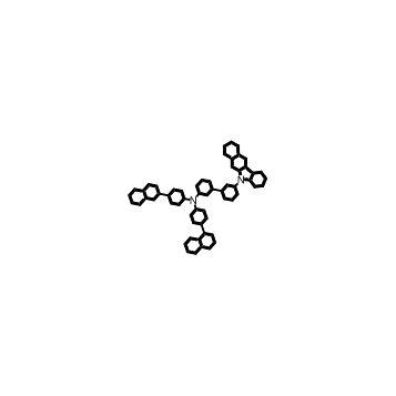 c1cc(-c2cccc(-n3c4ccccc4c4cc5ccccc5cc43)c2)cc(N(c2ccc(-c3ccc4ccccc4c3)cc2)c2ccc(-c3cccc4ccccc34)cc2)c1